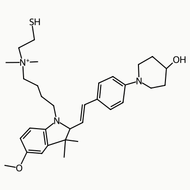 COc1ccc2c(c1)C(C)(C)C(/C=C/c1ccc(N3CCC(O)CC3)cc1)N2CCCC[N+](C)(C)CCS